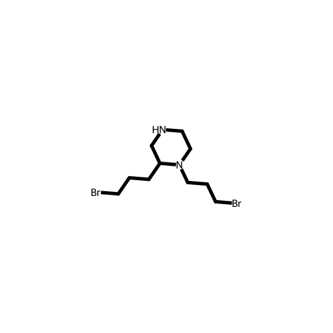 BrCCCC1CNCCN1CCCBr